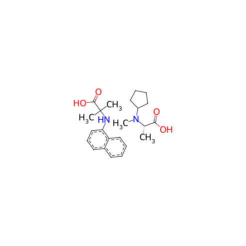 CC(C)(Nc1cccc2ccccc12)C(=O)O.C[C@@H](C(=O)O)N(C)C1CCCC1